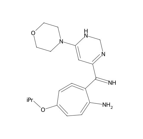 CC(C)OC1=CC=C(N)C(C(=N)C2=NCNC(N3CCOCC3)=C2)=C=C1